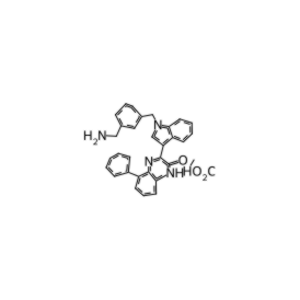 CC(=O)O.NCc1cccc(Cn2cc(-c3nc4c(-c5ccccc5)cccc4[nH]c3=O)c3ccccc32)c1